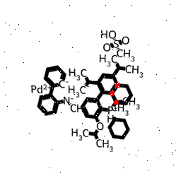 CC(C)Oc1cccc(-c2c(C(C)C)cc(C(C)C)cc2C(C)C)c1[PH+](C1CCCCC1)C1CCCCC1.CS(=O)(=O)O.C[N-]c1ccccc1-c1[c-]cccc1.[Pd+2]